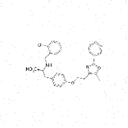 Cc1oc(-c2ccccc2)nc1CCOc1ccc(C[C@H](NCc2ccccc2Cl)C(=O)O)cc1